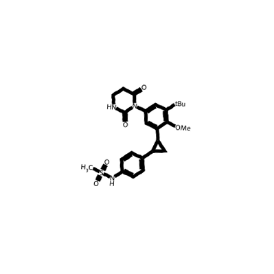 COc1c(C2CC2c2ccc(NS(C)(=O)=O)cc2)cc(N2C(=O)CCNC2=O)cc1C(C)(C)C